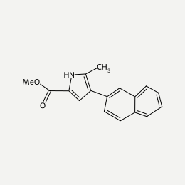 COC(=O)c1cc(-c2ccc3ccccc3c2)c(C)[nH]1